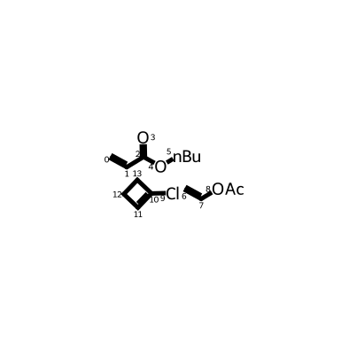 C=CC(=O)OCCCC.C=COC(C)=O.ClC1=CCC1